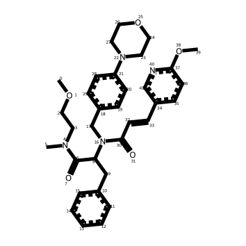 COCCN(C)C(=O)C(Cc1ccccc1)N(Cc1ccc(N2CCOCC2)cc1)C(=O)C=Cc1ccc(OC)nc1